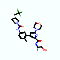 Cc1ccc(NC(=O)N2CC[C@@H](CC(F)(F)F)C2)cc1-c1cc(C(=O)N[C@@H](C)CO)nc(N2CCOCC2)c1